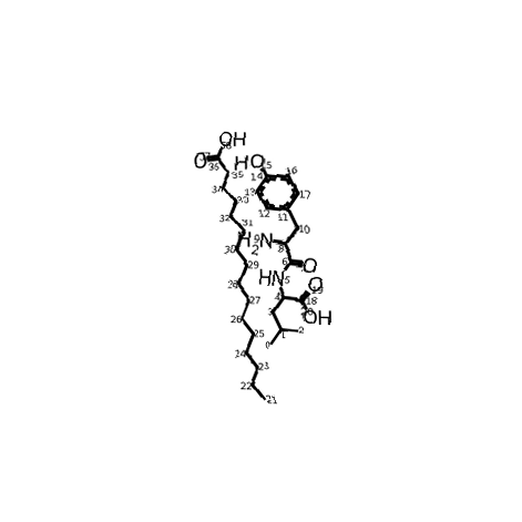 CC(C)CC(NC(=O)C(N)Cc1ccc(O)cc1)C(=O)O.CCCCCCCCCCCCCCCC(=O)O